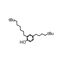 CC(C)(C)CCCCCCc1cc(CCCCC(C)(C)C)ccc1O